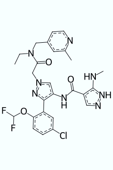 CCN(Cc1ccnc(C)c1)C(=O)Cn1cc(NC(=O)c2cn[nH]c2NC)c(-c2cc(Cl)ccc2OC(F)F)n1